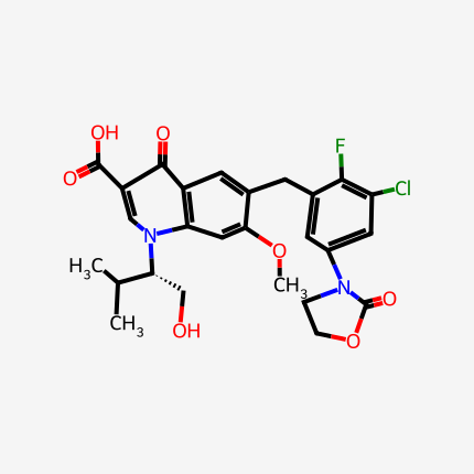 COc1cc2c(cc1Cc1cc(N3CCOC3=O)cc(Cl)c1F)c(=O)c(C(=O)O)cn2[C@H](CO)C(C)C